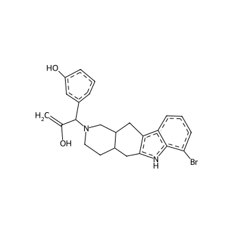 C=C(O)C(c1cccc(O)c1)N1CCC2Cc3[nH]c4c(Br)cccc4c3CC2C1